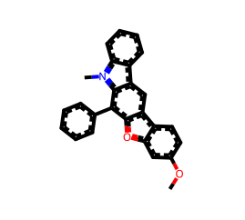 COc1ccc2c(c1)oc1c(-c3ccccc3)c3c(cc12)c1ccccc1n3C